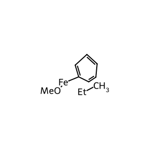 CCC.C[O][Fe][c]1ccccc1